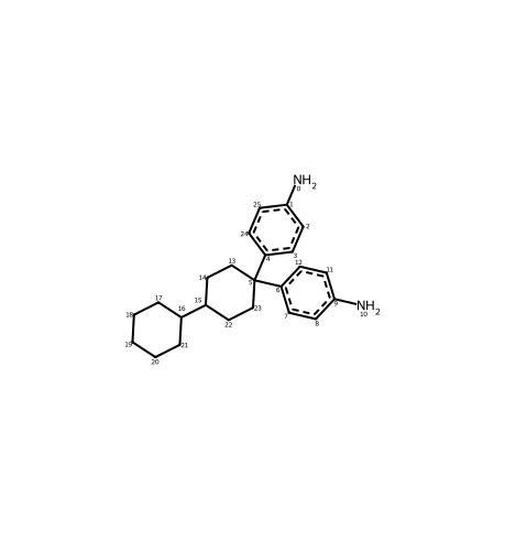 Nc1ccc(C2(c3ccc(N)cc3)CCC(C3CCCCC3)CC2)cc1